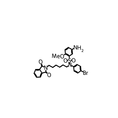 COc1ccc(N)cc1S(=O)(=O)N(CCCCCCN1C(=O)c2ccccc2C1=O)c1ccc(Br)cc1